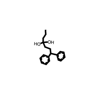 CCCC(O)(O)CCC(c1ccccc1)c1ccccc1